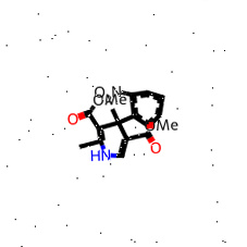 COC(=O)C1=CNC(C)=C(C(=O)OC)C1(C)c1ccccc1[N+](=O)[O-]